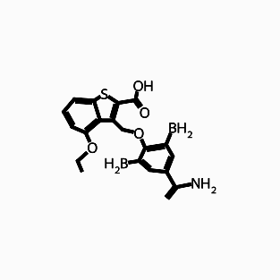 Bc1cc(C(=C)N)cc(B)c1OCc1c(C(=O)O)sc2cccc(OCC)c12